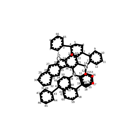 c1ccc(-c2ccc(-c3ccccc3N(c3ccccc3)c3ccc4oc5cc6ccccc6cc5c4c3N(c3ccc(-c4ccccc4)cc3)c3ccccc3-c3ccccc3)cc2)cc1